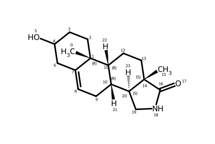 C[C@]12CCC(O)CC1=CC[C@@H]1[C@H]2CC[C@]2(C)C(=O)NC[C@@H]12